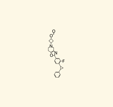 O=COC1CC(N2CCc3oc(-c4ccc(C5CC5c5ccccc5)c(F)c4)nc3C2)C1